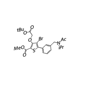 COC(=O)c1sc(-c2cccc(CN(C(C)=O)C(C)C)c2)c(Br)c1OCC(=O)OC(C)(C)C